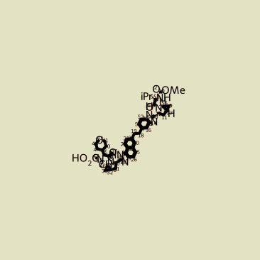 COC(=O)N[C@H](C(=O)N1[C@@H]2C[C@H]2C[C@H]1c1nc2cc(CCc3ccc4c(ccc5nc(C6CC7CC7N6C(=O)[C@H](C6CCOCC6)N(C)C(=O)O)[nH]c54)c3)ccc2[nH]1)C(C)C